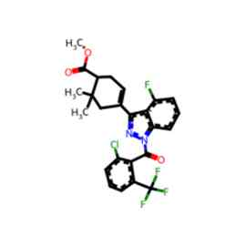 COC(=O)C1CC=C(c2nn(C(=O)c3c(Cl)cccc3C(F)(F)F)c3cccc(F)c23)CC1(C)C